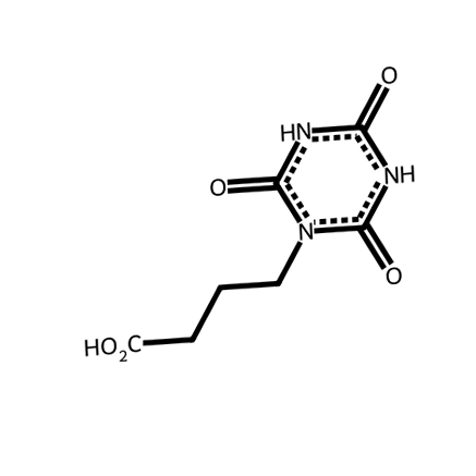 O=C(O)CCCn1c(=O)[nH]c(=O)[nH]c1=O